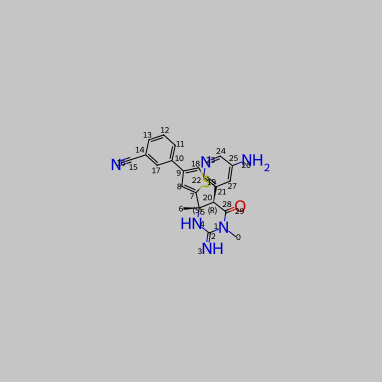 CN1C(=N)N[C@](C)(c2cc(-c3cccc(C#N)c3)cs2)[C@@H](c2cncc(N)c2)C1=O